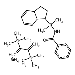 C=C(C(=C)[Si](C)(C)C)[Si](C)(C)C.[CH3][Ti]([CH3])([NH]C(=O)c1ccccc1)[CH]1CCC2C=CC=CC21.[SiH4]